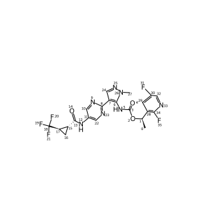 C[C@@H](OC(=O)Nc1c(-c2ncc(NC(=O)[C@@H]3C[C@H]3C(F)(F)F)cn2)cnn1C)c1cc(F)cnc1F